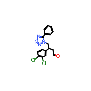 O=CCC(Cn1nnnc1-c1ccccc1)c1ccc(Cl)c(Cl)c1